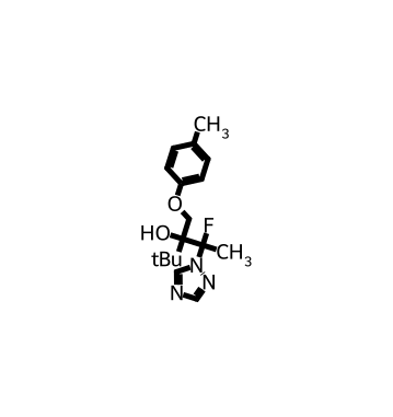 Cc1ccc(OCC(O)(C(C)(C)C)C(C)(F)n2cncn2)cc1